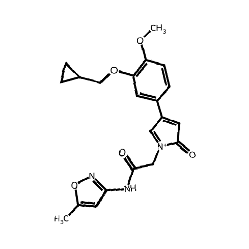 COc1ccc(C2=CC(=O)[N+](CC(=O)Nc3cc(C)on3)=C2)cc1OCC1CC1